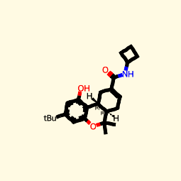 CC(C)(C)c1cc(O)c2c(c1)OC(C)(C)[C@@H]1CC=C(C(=O)NC3CCC3)C[C@@H]21